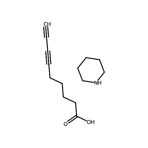 C#CC#CCCCCC(=O)O.C1CCNCC1